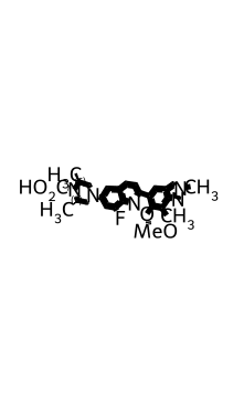 COCOc1c(-c2ccc3cc(N4C[C@H](C)N(C(=O)O)[C@@H](C)C4)cc(F)c3n2)cc2cn(C)nc2c1C